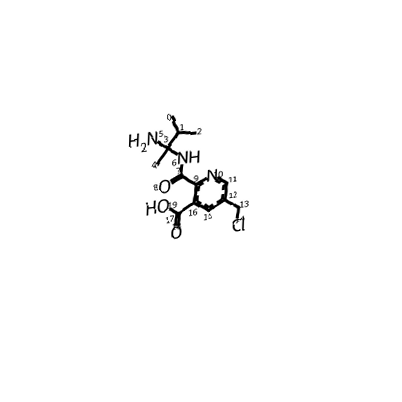 CC(C)C(C)(N)NC(=O)c1ncc(CCl)cc1C(=O)O